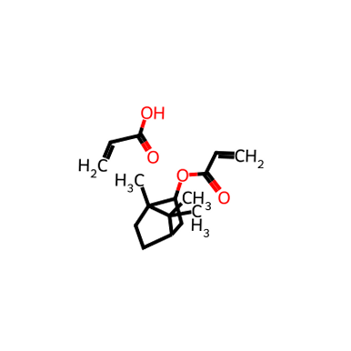 C=CC(=O)O.C=CC(=O)OC1CC2CCC1(C)C2(C)C